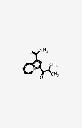 CC(C)C(=O)c1cc(C(N)=O)c2ccccn12